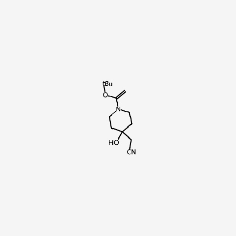 C=C(OC(C)(C)C)N1CCC(O)(CC#N)CC1